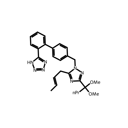 C/C=C/Cc1nc(C(CCC)(OC)OC)nn1Cc1ccc(-c2ccccc2-c2nnn[nH]2)cc1